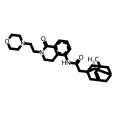 CC12C=C3CC(C1)CC(CC(=O)Nc1cccc4c1CCN(CCN1CCOCC1)C4=O)(C3)C2